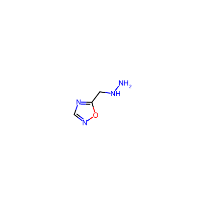 NNCc1ncno1